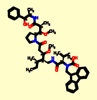 CC[C@H](C)[C@@H](CNC(=O)[C@H](C(C)C)N(CC1c2ccccc2-c2ccccc21)C(=O)O)[C@@H](CC(=O)N1CCC[C@H]1[C@H](OC)[C@@H](C)C(=O)N[C@H](C)[C@@H](O)c1ccccc1)OC